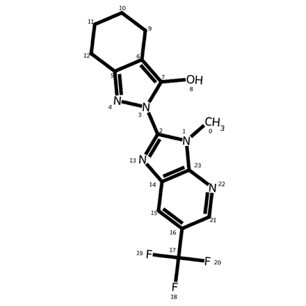 Cn1c(-n2nc3c(c2O)CCCC3)nc2cc(C(F)(F)F)cnc21